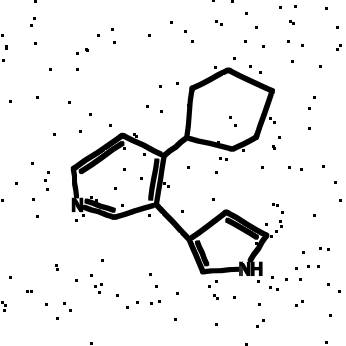 c1cc(C2CCCCC2)c(-c2cc[nH]c2)cn1